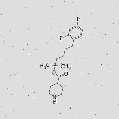 CC(C)(CCCCc1ccc(F)cc1F)OC(=O)C1CCNCC1